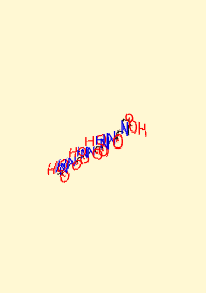 CC(=O)N(O)CNC(=O)CC(=O)N(O)CNC(=O)CC(=O)N(O)CNC(=O)CCn1ccc(=O)c(O)c1C